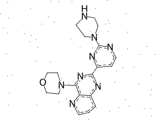 c1cnc2c(N3CCOCC3)nc(-c3ccnc(N4CCNCC4)n3)nc2c1